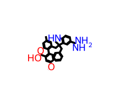 COc1ccc(-c2ccc(C)cc2CC2(Cc3ccccc3)CNc3ccc(C(=N)N)cc32)c(C(=O)O)c1